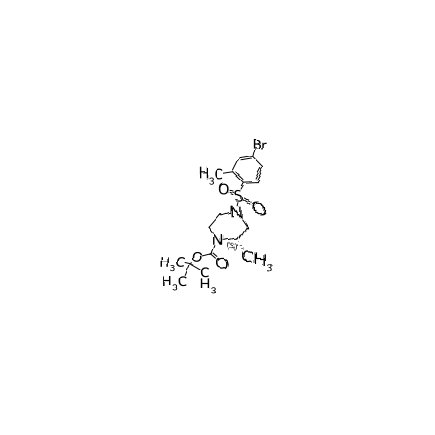 Cc1cc(Br)ccc1S(=O)(=O)N1CCN(C(=O)OC(C)(C)C)[C@@H](C)C1